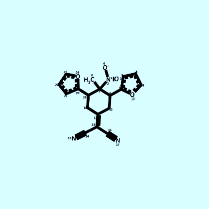 CC1([N+](=O)[O-])C(c2ccco2)CC(=C(C#N)C#N)CC1c1ccco1